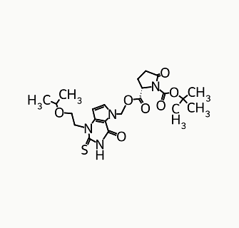 CC(C)OCCn1c(=S)[nH]c(=O)c2c1ccn2COC(=O)[C@@H]1CCC(=O)N1C(=O)OC(C)(C)C